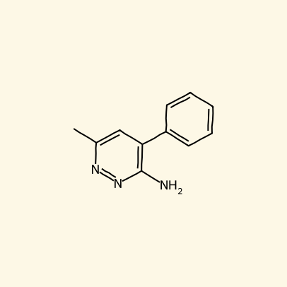 Cc1cc(-c2ccccc2)c(N)nn1